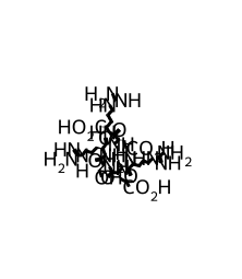 N=C(N)NCCC[C@H](NC(=O)[C@H](CCC(=O)O)NC(=O)[C@H](CCCNC(=N)N)NC(=O)[C@H](CO)NC(=O)[C@H](CCC(=O)O)NC(=O)[C@@H](N)CCCNC(=N)N)C(=O)O